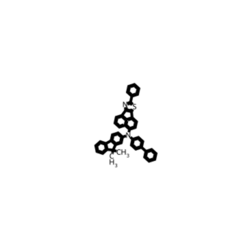 CC1(C)c2ccccc2-c2ccc(N(c3ccc(-c4ccccc4)cc3)c3ccc4c5c(cccc35)-c3nc(-c5ccccc5)sc3-4)cc21